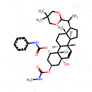 CNC(=O)O[C@H]1C[C@H](OC(=O)Nc2ccccc2)[C@]2(C)[C@H]3CC[C@]4(C)[C@@H](C(C)C5OCC(C)(C)CO5)CC[C@H]4[C@@H]3C=C[C@@]2(O)C1